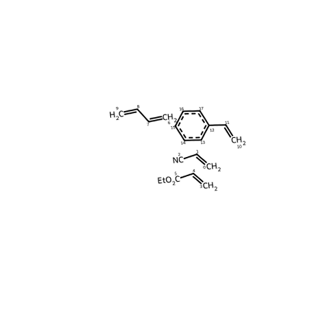 C=CC#N.C=CC(=O)OCC.C=CC=C.C=Cc1ccccc1